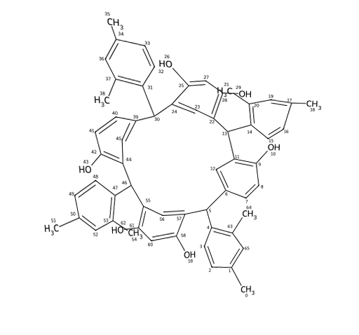 Cc1ccc(C2c3ccc(O)c(c3)C(c3ccc(C)cc3C)c3cc(c(O)cc3O)C(c3ccc(C)cc3C)c3ccc(O)c(c3)C(c3ccc(C)cc3C)c3cc2c(O)cc3O)c(C)c1